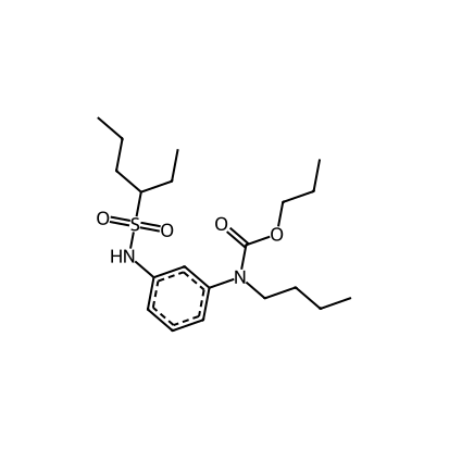 CCCCN(C(=O)OCCC)c1cccc(NS(=O)(=O)C(CC)CCC)c1